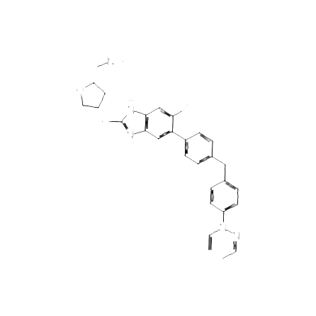 C=CN(/N=C\C)c1ccc(Cc2ccc(-c3cc4nc(O[C@@H]5CO[C@H](CN=O)C5)[nH]c4cc3Cl)cc2)cc1